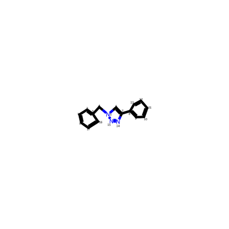 c1ccc(Cn2cc(-c3ccccc3)nn2)cc1